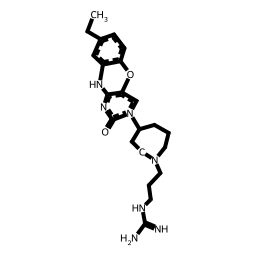 CCc1ccc2c(c1)Nc1nc(=O)n(C3CCCN(CCCNC(=N)N)CC3)cc1O2